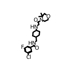 CC1(C)COCCN1C(=O)CNC1CCC(CNC(=O)c2cc(F)cc(Cl)c2)CC1